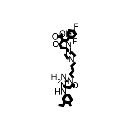 CCc1cc(Nc2cc(=O)n(CCCCCN3CCN(C4=NC(c5ccc(F)cc5F)=C(C(=O)O)C(=O)C4)CC3)c(N)n2)ccc1C